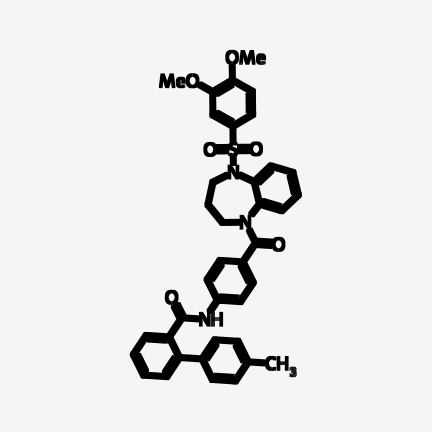 COc1ccc(S(=O)(=O)N2CCCN(C(=O)c3ccc(NC(=O)c4ccccc4-c4ccc(C)cc4)cc3)c3ccccc32)cc1OC